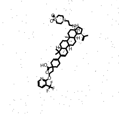 C=C(C)[C@@H]1CC[C@]2(NCCN3CCS(=O)(=O)CC3)CC[C@]3(C)[C@H](CC[C@@H]4[C@@]5(C)CC=C(C6=CCC(CCOc7ncccc7C(F)(F)F)(C(=O)O)CC6)C(C)(C)[C@@H]5CC[C@]43C)[C@@H]12